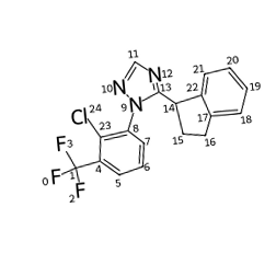 FC(F)(F)c1cccc(-n2ncnc2C2CCc3ccccc32)c1Cl